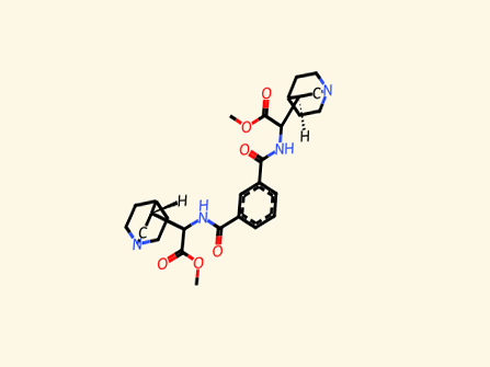 COC(=O)C(NC(=O)c1cccc(C(=O)NC(C(=O)OC)[C@@H]2CN3CCC2CC3)c1)[C@@H]1CN2CCC1CC2